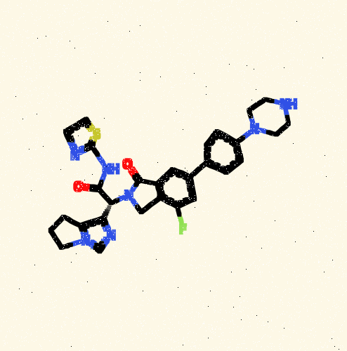 O=C(Nc1nccs1)[C@@H](c1ncn2c1CCC2)N1Cc2c(F)cc(-c3ccc(N4CCNCC4)cc3)cc2C1=O